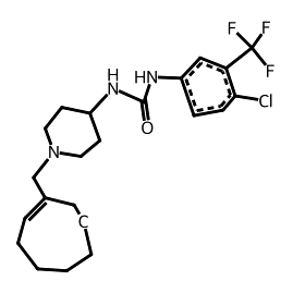 O=C(Nc1ccc(Cl)c(C(F)(F)F)c1)NC1CCN(C/C2=C/CCCCCC2)CC1